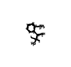 CC(C)(O)C(=N)c1ccccc1N